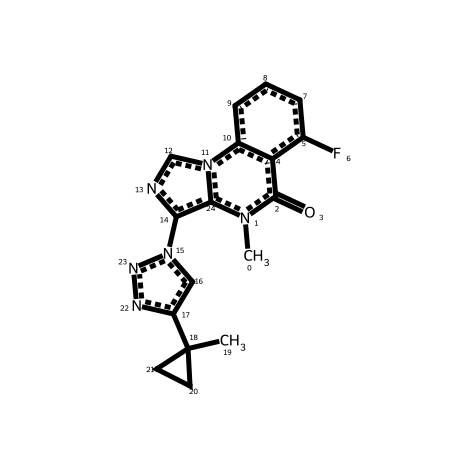 Cn1c(=O)c2c(F)cccc2n2cnc(-n3cc(C4(C)CC4)nn3)c12